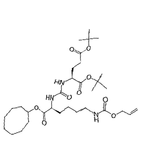 C=CCOC(=O)NCCCC[C@H](NC(=O)N[C@@H](CCC(=O)OC(C)(C)C)C(=O)OC(C)(C)C)C(=O)OC1CCCCCCC1